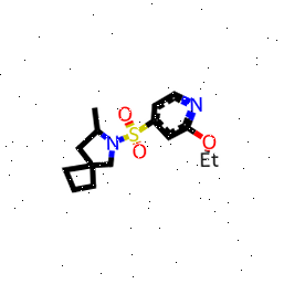 CCOc1cc(S(=O)(=O)N2CC3(CCC3)CC2C)ccn1